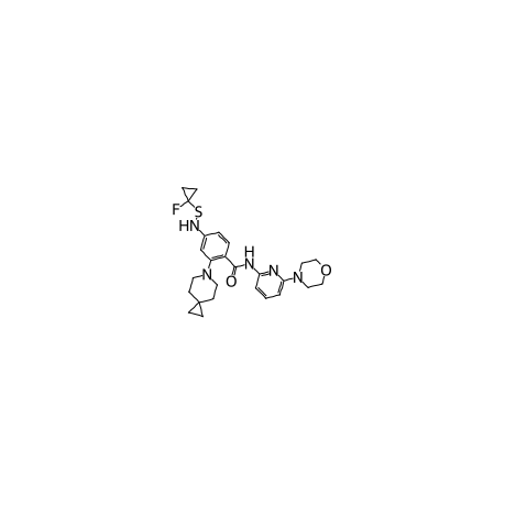 O=C(Nc1cccc(N2CCOCC2)n1)c1ccc(NSC2(F)CC2)cc1N1CCC2(CC1)CC2